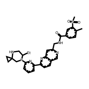 CCC1CNC2(CC2)CN1c1cccc(-c2ccc3cnc(CNC(=O)c4ccc(C)c(S(C)(=O)=O)c4)cc3n2)n1